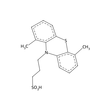 Cc1cccc2c1Sc1cccc(C)c1N2CCCS(=O)(=O)O